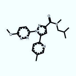 COc1ccc(-n2nc(C(=O)N(C)CC(C)C)cc2-c2ccc(C)cn2)nn1